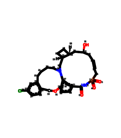 O=C1NS(=O)(=O)C/C=C\C[C@H](O)C[C@@H]2CC[C@H]2CN2CCCCc3cc(Cl)ccc3COc3ccc1cc32